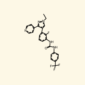 CCn1cc(-c2cccc(NC(=O)Nc3ccc(C(F)(F)F)cc3)c2F)c(-c2ccncc2)n1